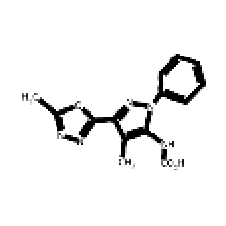 Cc1nnc(-c2nn(-c3ccccc3)c(NC(=O)O)c2C)o1